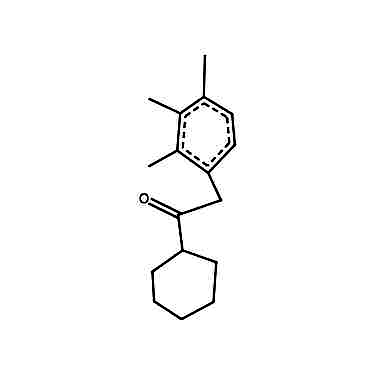 Cc1ccc(CC(=O)C2CCCCC2)c(C)c1C